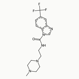 CN1CCN(CCNC(=O)n2cnc3cc(C(F)(F)F)ccc32)CC1